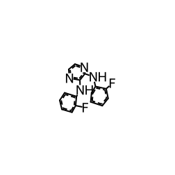 Fc1ccccc1Nc1nccnc1Nc1ccccc1F